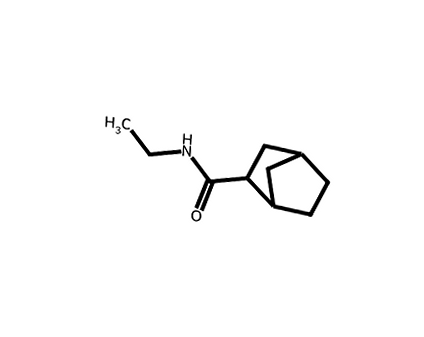 CCNC(=O)C1CC2CCC1C2